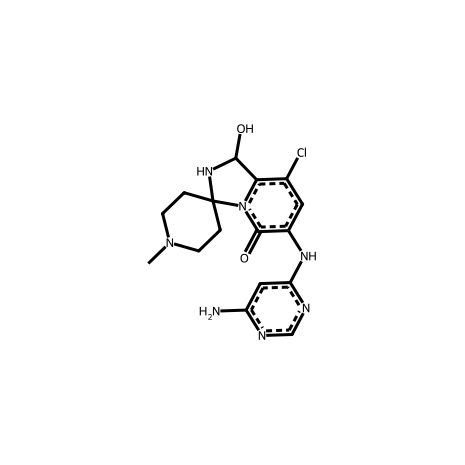 CN1CCC2(CC1)NC(O)c1c(Cl)cc(Nc3cc(N)ncn3)c(=O)n12